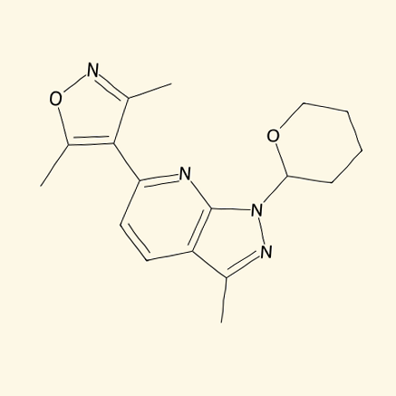 Cc1noc(C)c1-c1ccc2c(C)nn(C3CCCCO3)c2n1